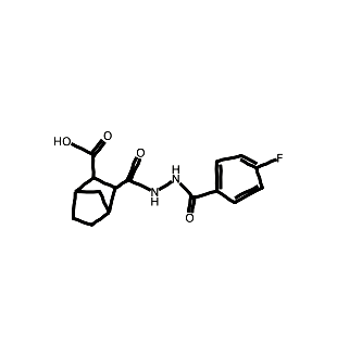 O=C(NNC(=O)C1C2CCC(C2)C1C(=O)O)c1ccc(F)cc1